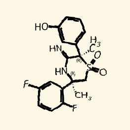 C[C@@]1(c2cccc(O)c2)C(=N)N[C@](C)(c2cc(F)ccc2F)CS1(=O)=O